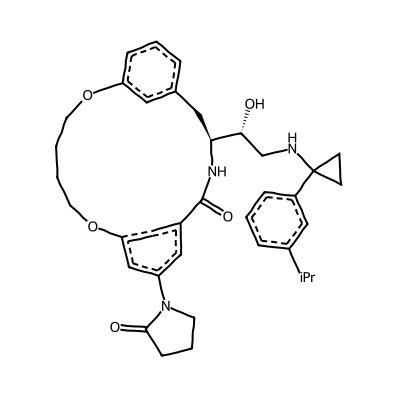 CC(C)c1cccc(C2(NC[C@@H](O)[C@@H]3Cc4cccc(c4)OCCCCOc4cc(cc(N5CCCC5=O)c4)C(=O)N3)CC2)c1